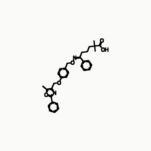 Cc1oc(-c2ccccc2)nc1COc1ccc(CON=C(CCCC(C)(C)C(=O)O)c2ccccc2)cc1